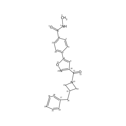 CNC(=O)c1ccc(-c2cc(C(=O)N3CC(Cc4ccccc4)C3)no2)cc1